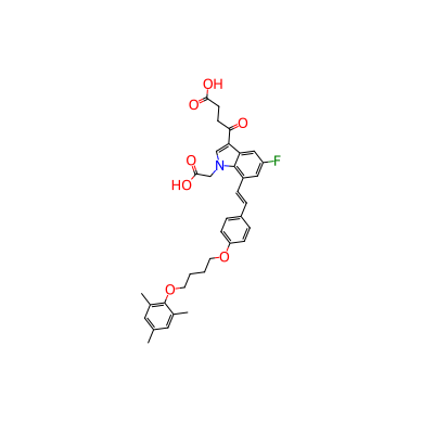 Cc1cc(C)c(OCCCCOc2ccc(/C=C/c3cc(F)cc4c(C(=O)CCC(=O)O)cn(CC(=O)O)c34)cc2)c(C)c1